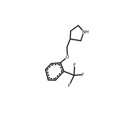 FC(F)(F)c1ccccc1OCC1CCNC1